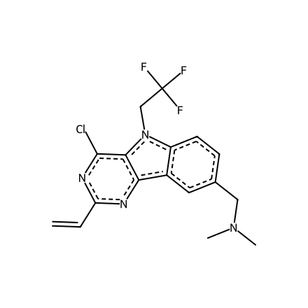 C=Cc1nc(Cl)c2c(n1)c1cc(CN(C)C)ccc1n2CC(F)(F)F